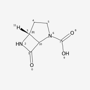 O=C1N[C@@H]2CCN(C(=O)O)C12